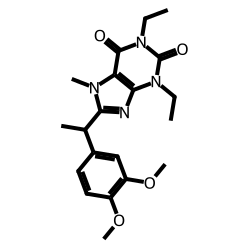 CCn1c(=O)c2c(nc(C(C)c3ccc(OC)c(OC)c3)n2C)n(CC)c1=O